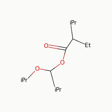 CCC(C(=O)OC(OC(C)C)C(C)C)C(C)C